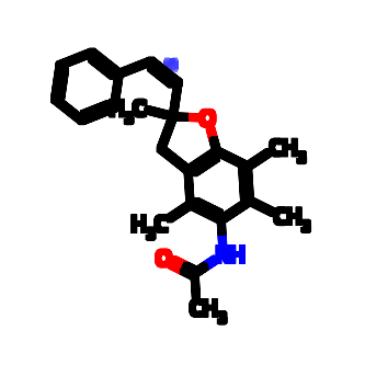 CC(=O)Nc1c(C)c(C)c2c(c1C)CC(C)(/C=C\c1ccccc1)O2